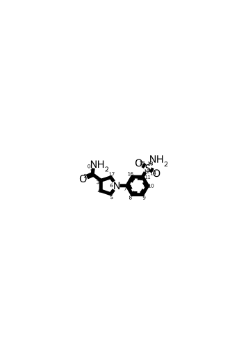 NC(=O)C1CCN(c2cccc(S(N)(=O)=O)c2)C1